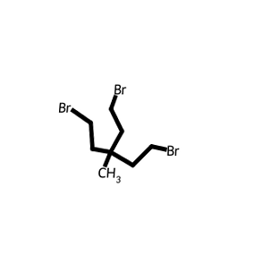 CC(CCBr)(CCBr)CCBr